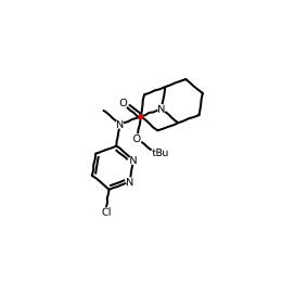 CN(c1ccc(Cl)nn1)C1CC2CCCC(C1)N2C(=O)OC(C)(C)C